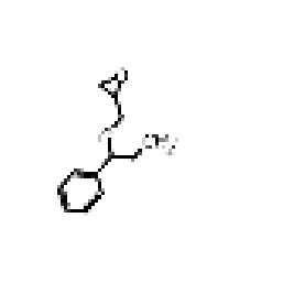 [CH2]CC(OCC1CO1)c1ccccc1